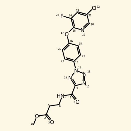 COC(=O)CCNC(=O)c1nnn(-c2ccc(Oc3ncc(Cl)cc3F)cc2)n1